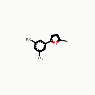 CC(=O)c1ccc(-c2cc(C(F)(F)F)cc(C(F)(F)F)c2)o1